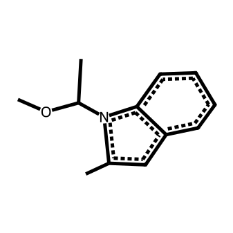 COC(C)n1c(C)cc2ccccc21